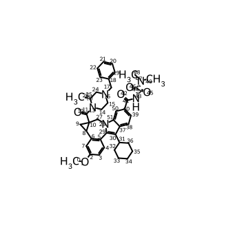 COc1ccc2c(c1)C1CC1(C(=O)N1CCN(Cc3ccccc3)C[C@@H]1C)Cn1c-2c(C2CCCCC2)c2ccc(C(=O)NS(=O)(=O)N(C)C)cc21